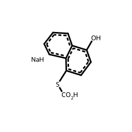 O=C(O)Sc1ccc(O)c2ccccc12.[NaH]